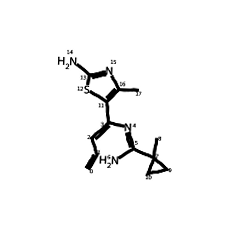 C=C/C=C(\N=C(/N)C1(C)CC1)c1sc(N)nc1C